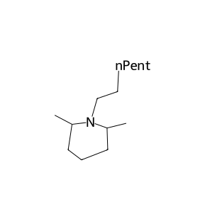 CCCCCCCN1C(C)CCCC1C